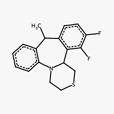 CC1c2ccccc2N2CCSCC2c2c1ccc(F)c2F